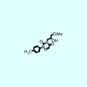 COC[C@H](O)Cn1c(=O)cnn(-c2c[c]c(C)cc2)c1=O